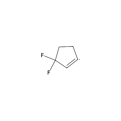 FC1(F)C=[C]CC1